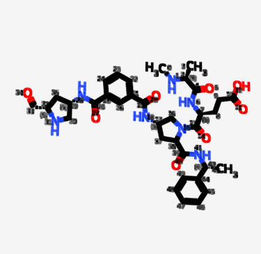 CN[C@@H](C)C(=O)N[C@@H](CCC(=O)O)C(=O)N1C[C@@H](NC(=O)c2cccc(C(=O)N[C@@H]3CN[C@H](C=O)C3)c2)CC1C(=O)N[C@H](C)c1ccccc1